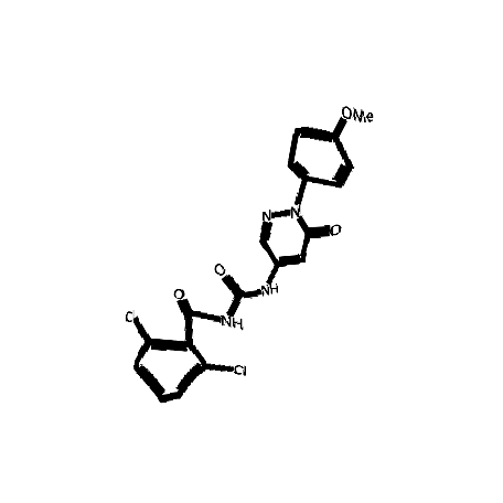 COc1ccc(-n2ncc(NC(=O)NC(=O)c3c(Cl)cccc3Cl)cc2=O)cc1